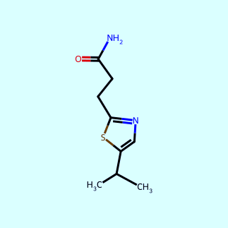 CC(C)c1cnc(CCC(N)=O)s1